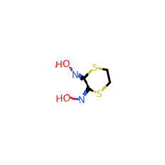 O/N=C1\SCCS\C1=N\O